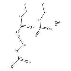 CCCC(=O)[O-].CCCC(=O)[O-].CCCC(=O)[O-].[Ce+3]